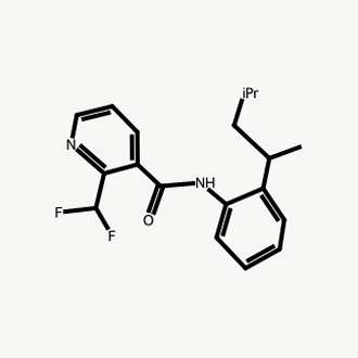 CC(C)CC(C)c1ccccc1NC(=O)c1cccnc1C(F)F